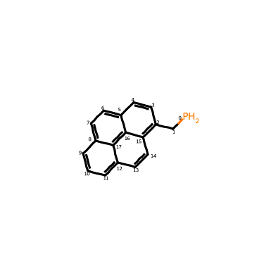 PCc1ccc2ccc3cccc4ccc1c2c34